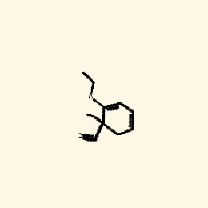 CCOC1=CC=CCC1(I)C=O